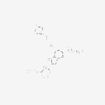 CNC(N)=NC(=O)c1cc2c(C)ccc(OCCCn3ccnc3)c2[nH]1.CS(=O)(=O)O.CS(=O)(=O)O